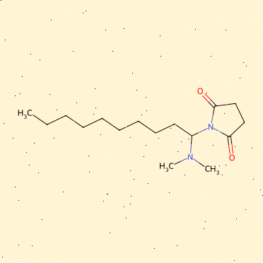 CCCCCCCCCC(N(C)C)N1C(=O)CCC1=O